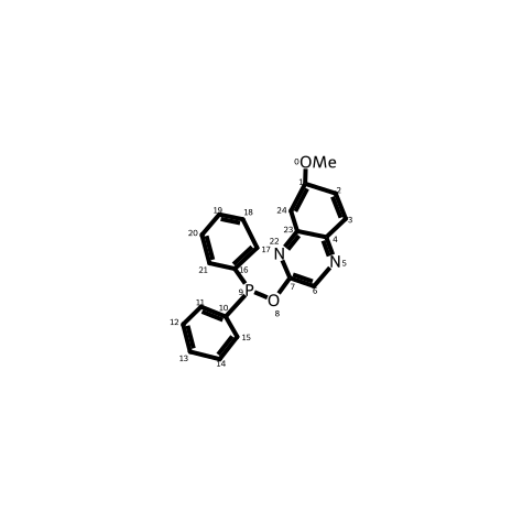 COc1ccc2ncc(OP(c3ccccc3)c3ccccc3)nc2c1